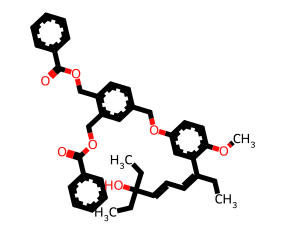 CC/C(=C/C=C/C(O)(CC)CC)c1cc(OCc2ccc(COC(=O)c3ccccc3)c(COC(=O)c3ccccc3)c2)ccc1OC